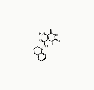 C=C1NC(=O)NC(C(=O)N[C@H]2CCCc3ccccc32)=C1N